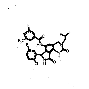 O=C(Nc1cc2c(c3c1C(c1cc(F)ccc1Cl)NC3=O)NC(=O)N(CC(F)F)C2)c1cc(F)cc(C(F)(F)F)c1